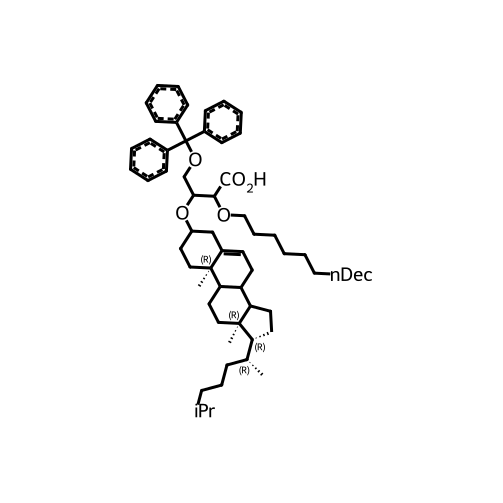 CCCCCCCCCCCCCCCCOC(C(=O)O)C(COC(c1ccccc1)(c1ccccc1)c1ccccc1)OC1CC[C@@]2(C)C(=CCC3C2CC[C@@]2(C)C3CC[C@@H]2[C@H](C)CCCC(C)C)C1